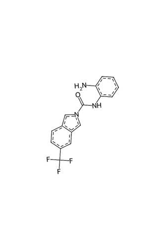 Nc1ccccc1NC(=O)n1cc2ccc(C(F)(F)F)cc2c1